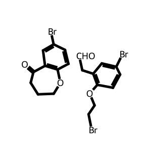 O=C1CCCOc2ccc(Br)cc21.O=CCc1cc(Br)ccc1OCCBr